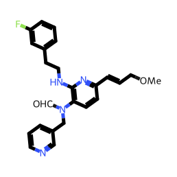 COC/C=C/c1ccc(N(C=O)Cc2cccnc2)c(NCCc2cccc(F)c2)n1